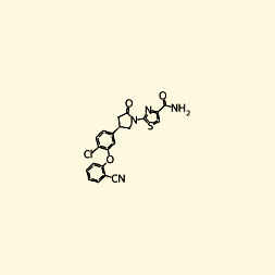 N#Cc1ccccc1Oc1cc([C@H]2CC(=O)N(c3nc(C(N)=O)cs3)C2)ccc1Cl